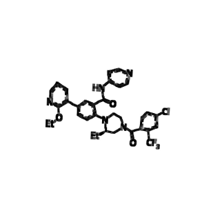 CCOc1ncccc1-c1ccc(N2CCN(C(=O)c3ccc(Cl)cc3C(F)(F)F)C[C@H]2CC)c(C(=O)Nc2ccncc2)c1